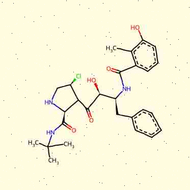 Cc1c(O)cccc1C(=O)N[C@@H](Cc1ccccc1)[C@H](O)C(=O)C1[C@H](Cl)CN[C@@H]1C(=O)NC(C)(C)C